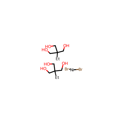 CCC(CO)(CO)CO.CCC(CO)(CO)CO.[Br][Ni][Br]